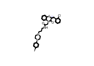 O=C(CN1C(=O)/C(=C\c2ccccc2Cl)Sc2ccccc21)NCCCN1CCN(c2ccc(F)cc2)CC1